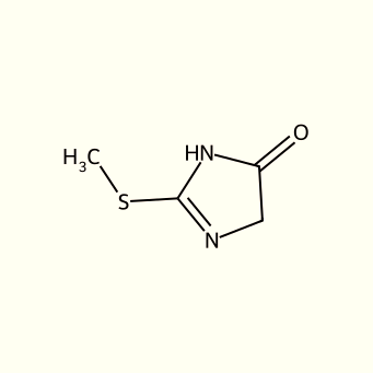 CSC1=NCC(=O)N1